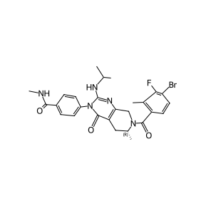 CNC(=O)c1ccc(-n2c(NC(C)C)nc3c(c2=O)C[C@@H](C)N(C(=O)c2ccc(Br)c(F)c2C)C3)cc1